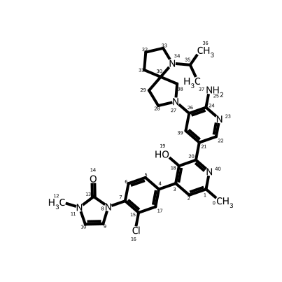 Cc1cc(-c2ccc(-n3ccn(C)c3=O)c(Cl)c2)c(O)c(-c2cnc(N)c(N3CCC4(CCCN4C(C)C)C3)c2)n1